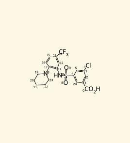 O=C(O)c1cc(Cl)cc(S(=O)(=O)Nc2cc(C(F)(F)F)ccc2N2CCCCC2)c1